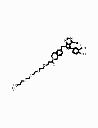 CNCCOCCOCCOCCOCCC(=O)N1CCc2cc(Cn3nc(-c4ccc(O)c(N)c4)c4c(N)ncnc43)ccc2C1